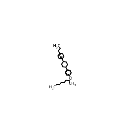 CCCCCCC(C)Oc1ccc(C2CCC(C34CCC(CCC)(CC3)CC4)CC2)cc1